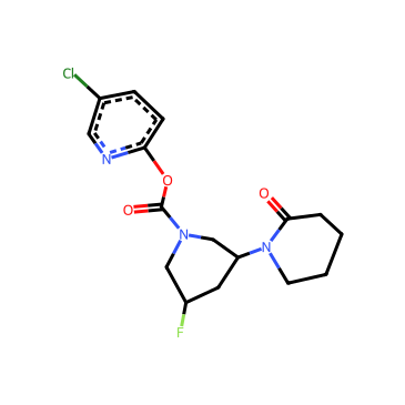 O=C(Oc1ccc(Cl)cn1)N1CC(F)CC(N2CCCCC2=O)C1